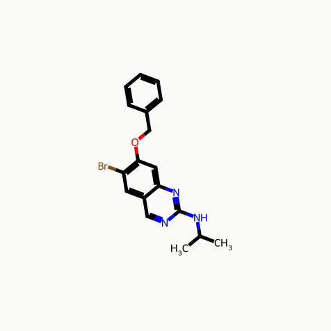 CC(C)Nc1ncc2cc(Br)c(OCc3ccccc3)cc2n1